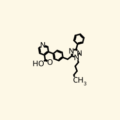 CCCCCn1nc(-c2ccccc2)nc1Cc1ccc(-c2cnccc2C(=O)O)cc1